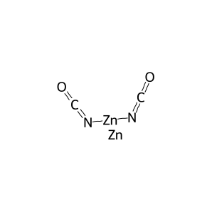 O=C=[N][Zn][N]=C=O.[Zn]